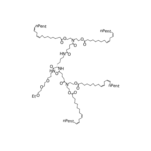 CCCCC/C=C\C/C=C\CCCCCCCC(=O)OCCN(CCOC(=O)CCCCCCC/C=C\C/C=C\CCCCC)C(=O)CCCC(=O)NCCCC[C@H](NC(=O)CCCC(=O)N(CCOC(=O)CCCCCCC/C=C\C/C=C\CCCCC)CCOC(=O)CCCCCCC/C=C\C/C=C\CCCCC)C(=O)NCCCOCCOCCOCC